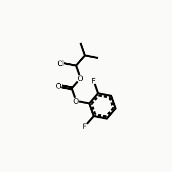 CC(C)C(Cl)OC(=O)Oc1c(F)cccc1F